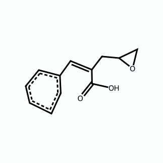 O=C(O)C(=Cc1ccccc1)CC1CO1